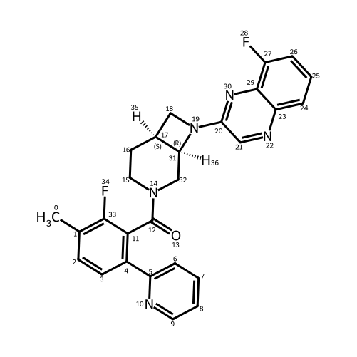 Cc1ccc(-c2ccccn2)c(C(=O)N2CC[C@H]3CN(c4cnc5cccc(F)c5n4)[C@H]3C2)c1F